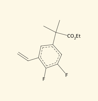 C=Cc1cc(C(C)(C)C(=O)OCC)cc(F)c1F